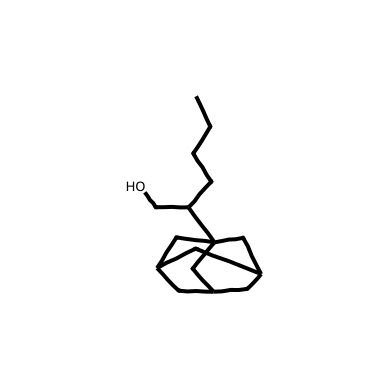 CCCCC(CO)C12CC3CC(CC(C3)C1)C2